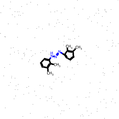 Cc1cccc(N=NNc2cccc(C)c2C)c1C